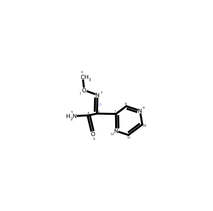 CO/N=C(\C(N)=O)c1cnccn1